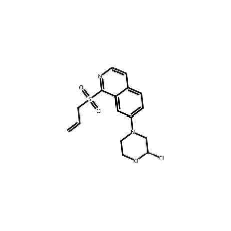 C=CCS(=O)(=O)c1nccc2ccc(N3CCOC(Cl)C3)cc12